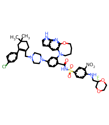 CC1(C)CCC(CN2CCN(c3ccc(C(=O)NS(=O)(=O)c4ccc(NC[C@]5(F)COCCO5)c([N+](=O)[O-])c4)c(N4CCCCOc5nc6[nH]ccc6cc54)c3)CC2)=C(c2ccc(Cl)cc2)C1